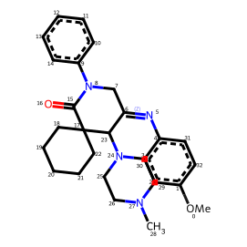 COc1ccc(/N=C2/CN(c3ccccc3)C(=O)C3(CCCCC3)C2N2CCN(C)CC2)cc1